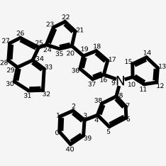 c1ccc(-c2cccc(N(c3ccccc3)c3ccc(-c4cccc(-c5cccc6ccccc56)c4)cc3)c2)cc1